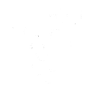 c1ccc(-c2nc(-n3c4ccccc4c4c5c(ccc43)oc3ccccc35)c3oc4c5ccccc5ccc4c3n2)cc1